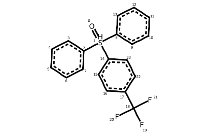 O=[SH](c1ccccc1)(c1ccccc1)c1ccc(C(F)(F)F)cc1